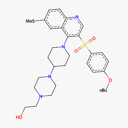 CCCCOc1ccc(S(=O)(=O)c2cnc3ccc(SC)cc3c2N2CCC(N3CCN(CCO)CC3)CC2)cc1